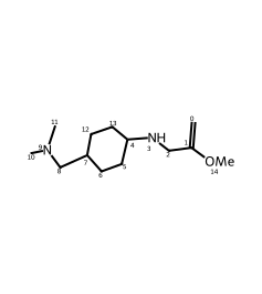 C=C(CNC1CCC(CN(C)C)CC1)OC